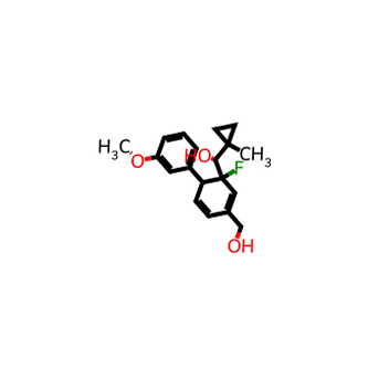 COc1cccc(C2C=CC(CO)=CC2(F)C(O)C2(C)CC2)c1